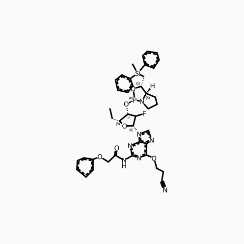 CC[C@H]1O[C@@H](n2cnc3c(OCCC#N)nc(NC(=O)COc4ccccc4)nc32)C(F)[C@H]1O[P@@]1O[C@H](C[Si](C)(c2ccccc2)c2ccccc2)[C@@H]2CCCN21